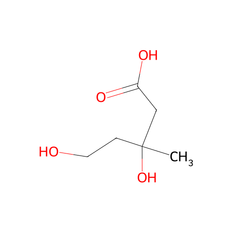 CC(O)(CCO)CC(=O)O